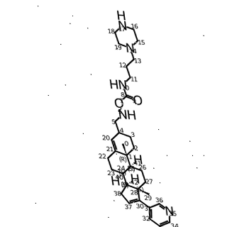 C[C@]12CCC(CNOC(=O)NCCCN3CCNCC3)C=C1CC[C@H]1[C@@H]2CC[C@]2(C)C(c3cccnc3)=CC[C@@H]12